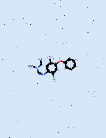 CCN(C)/C=N\c1cc(C)c(Oc2ccccc2)cc1Cl